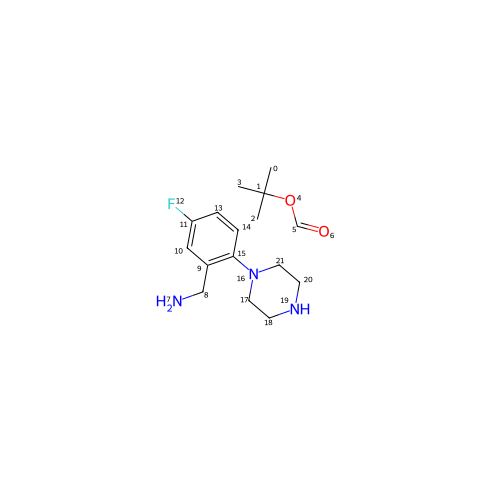 CC(C)(C)OC=O.NCc1cc(F)ccc1N1CCNCC1